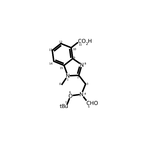 Cn1c(CN(C=O)OC(C)(C)C)nc2c(C(=O)O)cccc21